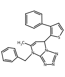 CC1=CC(c2sccc2-c2ccccc2)n2nnnc2N1Cc1ccccc1